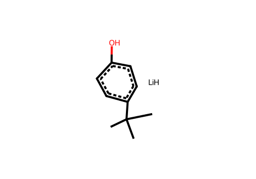 CC(C)(C)c1ccc(O)cc1.[LiH]